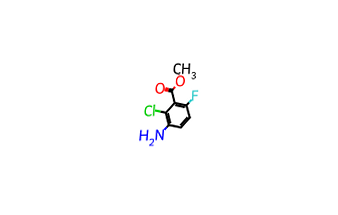 COC(=O)c1c(F)ccc(N)c1Cl